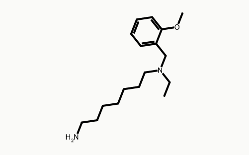 CCN(CCCCCCCN)Cc1ccccc1OC